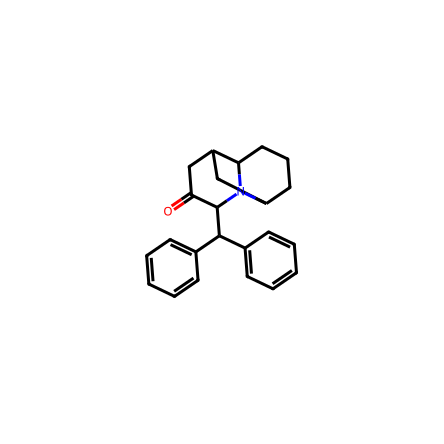 O=C1CC2CC3CCCC2N3C1C(c1ccccc1)c1ccccc1